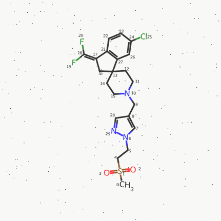 CS(=O)(=O)CCn1cc(CN2CCC3(CC2)CC(=C(F)F)c2ccc(Cl)cc23)cn1